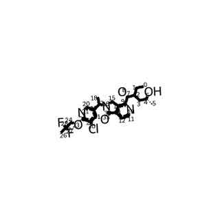 CCC(C[C@@H](C)O)C(=O)c1nccc2c1CN(C(C)c1cnc(OCC(C)(F)F)c(Cl)c1)C2=O